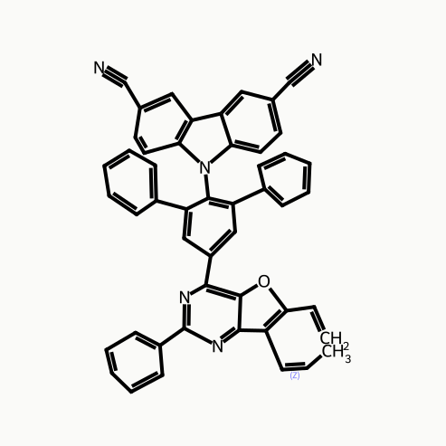 C=Cc1oc2c(-c3cc(-c4ccccc4)c(-n4c5ccc(C#N)cc5c5cc(C#N)ccc54)c(-c4ccccc4)c3)nc(-c3ccccc3)nc2c1/C=C\C